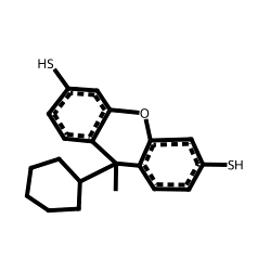 CC1(C2CCCCC2)c2ccc(S)cc2Oc2cc(S)ccc21